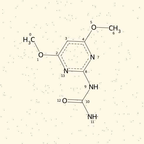 COc1cc(OC)nc(NC([NH])=O)n1